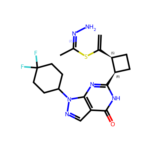 C=C(S/C(C)=N\N)[C@H]1CC[C@H]1c1nc2c(cnn2C2CCC(F)(F)CC2)c(=O)[nH]1